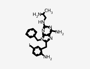 CC(N)CNc1nc(N)c2nc(Cc3cc(I)ccc3N)n(Cc3ccccc3)c2n1